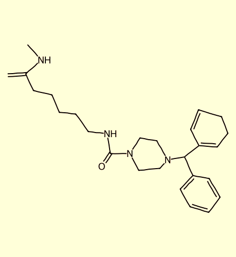 C=C(CCCCCNC(=O)N1CCN(C(C2=CCCC=C2)c2ccccc2)CC1)NC